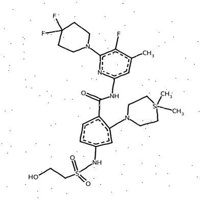 Cc1cc(NC(=O)c2ccc(NS(=O)(=O)CCO)cc2N2CC[Si](C)(C)CC2)nc(N2CCC(F)(F)CC2)c1F